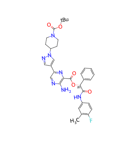 Cc1cc(NC(=O)[C@H](OC(=O)c2nc(-c3cnn(C4CCN(C(=O)OC(C)(C)C)CC4)c3)cnc2N)c2ccccc2)ccc1F